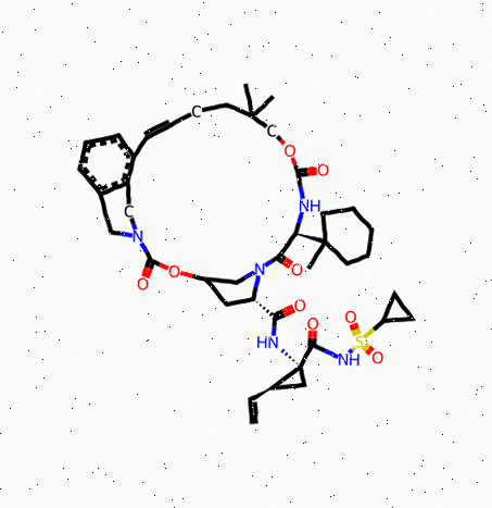 C=C[C@@H]1C[C@]1(NC(=O)[C@@H]1CC2CN1C(=O)[C@H](C1(C)CCCCC1)NC(=O)OCC(C)(C)CC/C=C/c1cccc3c1CN(C3)C(=O)O2)C(=O)NS(=O)(=O)C1CC1